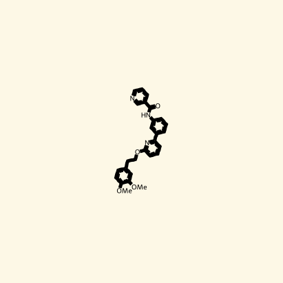 COc1ccc(CCOc2cccc(-c3cccc(NC(=O)c4cccnc4)c3)n2)cc1OC